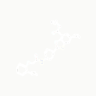 COC(=O)c1cc(C)cc2nc(-c3ccc(NC(=O)COc4ccccc4C)cc3)oc12